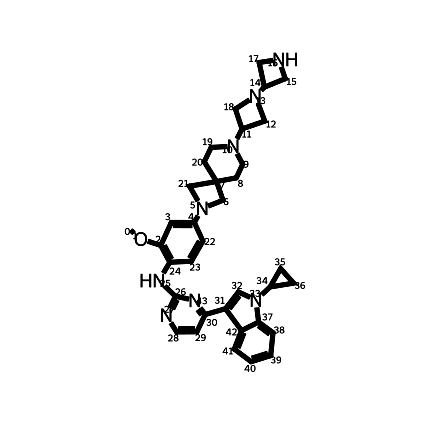 COc1cc(N2CC3(CCN(C4CN(C5CNC5)C4)CC3)C2)ccc1Nc1nccc(-c2cn(C3CC3)c3ccccc23)n1